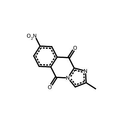 Cc1cn2c(n1)C(=O)c1cc([N+](=O)[O-])ccc1C2=O